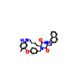 Cc1ccccc1Oc1ccc(CN2C(=O)C(Cc3ccc4ccccc4c3)NC(=O)C2CCCCN)cc1